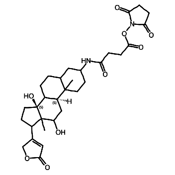 CC12CCC(NC(=O)CCC(=O)ON3C(=O)CCC3=O)CC1CCC1[C@@H]2CC(O)C2(C)C(C3=CC(=O)OC3)CC[C@]12O